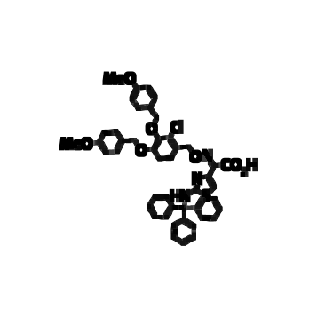 COc1ccc(COc2ccc(CON=C(C(=O)O)c3csc(NC(c4ccccc4)(c4ccccc4)c4ccccc4)n3)c(Cl)c2OCc2ccc(OC)cc2)cc1